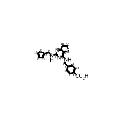 O=C(O)c1ccc(CNc2nc(NCc3cccs3)nc3ccsc23)cc1